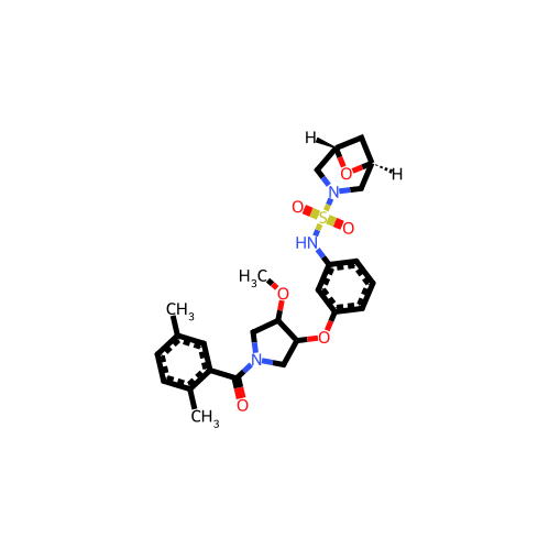 COC1CN(C(=O)c2cc(C)ccc2C)CC1Oc1cccc(NS(=O)(=O)N2C[C@@H]3C[C@@H](C2)O3)c1